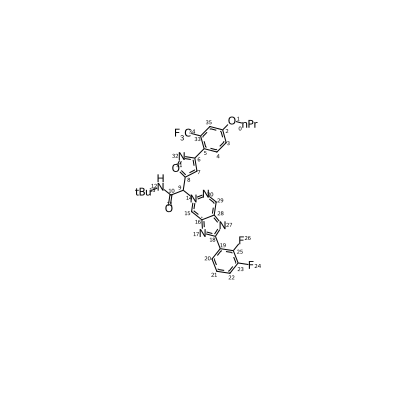 CCCOc1ccc(-c2cc(C(C(=O)NC(C)(C)C)n3cc4nc(-c5cccc(F)c5F)nc-4cn3)on2)c(C(F)(F)F)c1